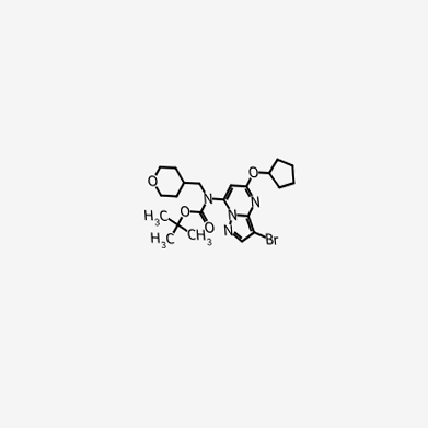 CC(C)(C)OC(=O)N(CC1CCOCC1)c1cc(OC2CCCC2)nc2c(Br)cnn12